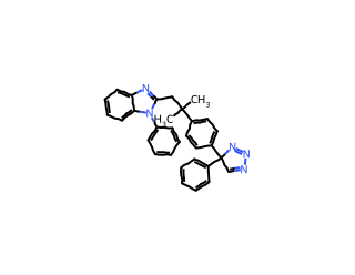 CC(C)(Cc1nc2ccccc2n1-c1ccccc1)c1ccc(C2(c3ccccc3)C=NN=N2)cc1